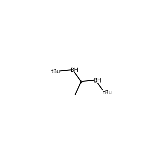 CC(BC(C)(C)C)BC(C)(C)C